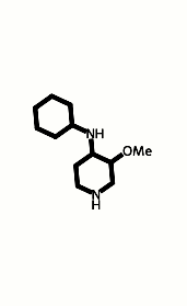 COC1CNCCC1NC1CCCCC1